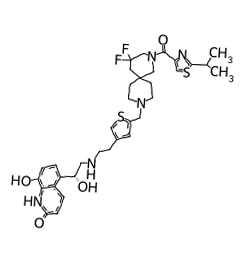 CC(C)c1nc(C(=O)N2CC(F)(F)CC3(CCN(Cc4cc(CCNC[C@H](O)c5ccc(O)c6[nH]c(=O)ccc56)cs4)CC3)C2)cs1